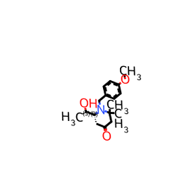 COc1ccc(CN2[C@@H]([C@H](C)O)CC(=O)CC2(C)C)cc1